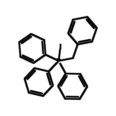 IP(Cc1ccccc1)(c1ccccc1)(c1ccccc1)c1ccccc1